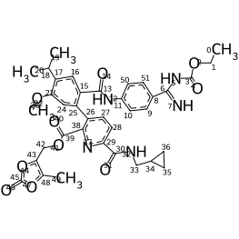 CCOC(=O)NC(=N)c1ccc(NC(=O)c2cc(C(C)C)c(OC)cc2-c2ccc(C(=O)NCC3CC3)nc2C(=O)OCc2oc(=O)oc2C)cc1